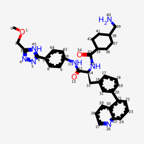 COCc1nnc(-c2ccc(NC(=O)[C@H](Cc3cccc(-c4cccc5ncccc45)c3)NC(=O)C3CCC(CN)CC3)cc2)[nH]1